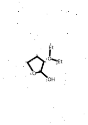 CCOCC.OC1CCCO1